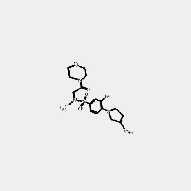 CN(CC(=O)N1CCOCC1)S(=O)(=O)c1ccc(N2CCC(O)C2)c(Br)c1